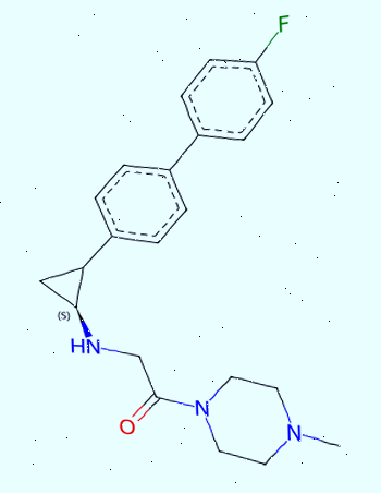 CN1CCN(C(=O)CN[C@H]2CC2c2ccc(-c3ccc(F)cc3)cc2)CC1